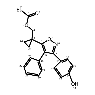 CCC(=O)OCC1(c2onc(-c3ccc(O)cc3)c2-c2ccccc2)CC1